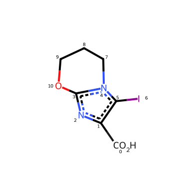 O=C(O)c1nc2n(c1I)CCCO2